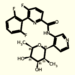 C[C@H]1[C@@H](O)[C@@H](O)[C@@H](C)O[C@H]1c1ccncc1NC(=O)c1ccc(F)c(-c2c(F)cccc2F)n1